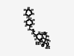 CCOP(=O)(OCC)C(F)(F)c1ccc(CSCc2ccc(-c3ccccc3)cc2)cc1Br